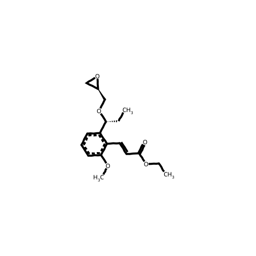 CCOC(=O)/C=C/c1c(OC)cccc1[C@@H](CC)OC[C@H]1CO1